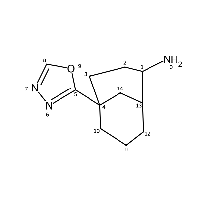 NC1CCC2(c3nnco3)CCCC1C2